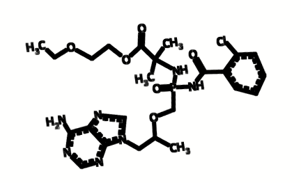 CCOCCOC(=O)C(C)(C)NP(=O)(COC(C)Cn1cnc2c(N)ncnc21)NC(=O)c1ccccc1Cl